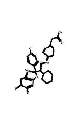 O=C(O)CC1CCC(NC(=O)C(C2CCCCC2)C2(c3ccc(Cl)cc3)Nc3cc(F)c(F)cc3N2)CC1